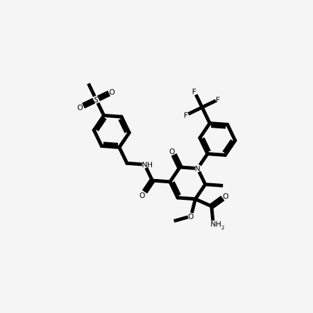 COC1(C(N)=O)C=C(C(=O)NCc2ccc(S(C)(=O)=O)cc2)C(=O)N(c2cccc(C(F)(F)F)c2)C1C